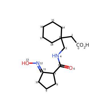 O=C(O)CC1(CNC(=O)C2CCCC2=NO)CCCCC1